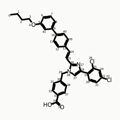 CCCCOc1cccc(-c2ccc(C=Cc3nc(-c4ccc(Cl)cc4Cl)cn3Cc3ccc(C(=O)O)cc3)cc2)c1